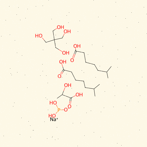 CC(C)CCCCC(=O)O.CC(C)CCCCC(=O)O.CC(O)C(=O)O.OCC(CO)(CO)CO.[Na+].[O-]P(O)O